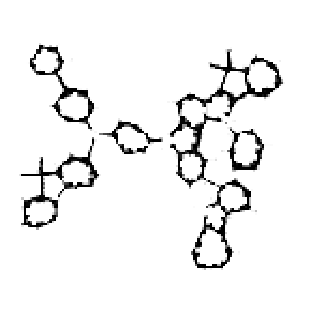 CC1(C)c2ccccc2-c2ccc(N(c3ccc(-c4ccccc4)cc3)c3ccc(-n4c5ccc(-c6cccc7c6sc6ccccc67)cc5c5c6c(ccc54)c4c(n6-c5ccccc5)-c5ccccc5C4(C)C)cc3)cc21